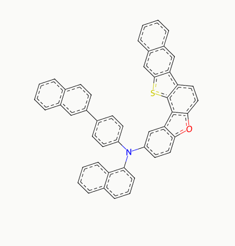 c1ccc2cc(-c3ccc(N(c4ccc5oc6ccc7c8cc9ccccc9cc8sc7c6c5c4)c4cccc5ccccc45)cc3)ccc2c1